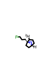 [2H]C1CC[C@@H]2CC[C@@]1(CCCF)N2C